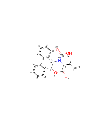 C=CC[C@H]1C(=O)O[C@H](c2ccccc2)[C@H](c2ccccc2)N1C(=O)O